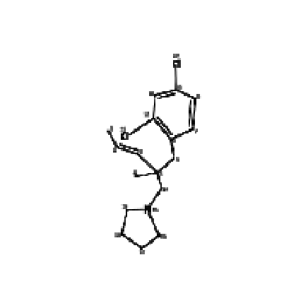 CC=CC(C)(Cc1ccc(Cl)cc1Cl)CN1CCCC1